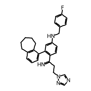 N=C(CCn1cncn1)c1ccc(NCc2ccc(F)cc2)cc1-c1cccc2c1CCCCC2